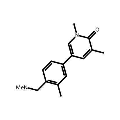 CNCc1ccc(-c2cc(C)c(=O)n(C)c2)cc1C